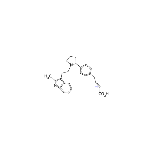 Cc1nc2ccccn2c1CCN1CCCC1c1ccc(C/C=C/C(=O)O)cc1